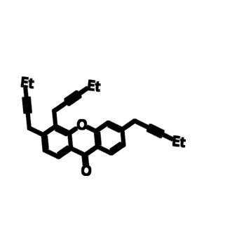 CCC#CCc1ccc2c(=O)c3ccc(CC#CCC)c(CC#CCC)c3oc2c1